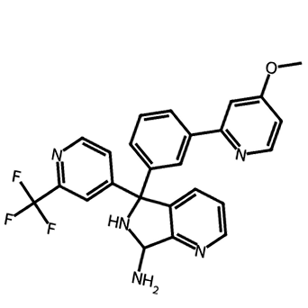 COc1ccnc(-c2cccc(C3(c4ccnc(C(F)(F)F)c4)NC(N)c4ncccc43)c2)c1